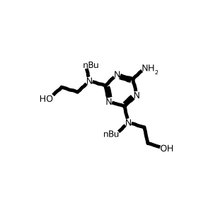 CCCCN(CCO)c1nc(N)nc(N(CCO)CCCC)n1